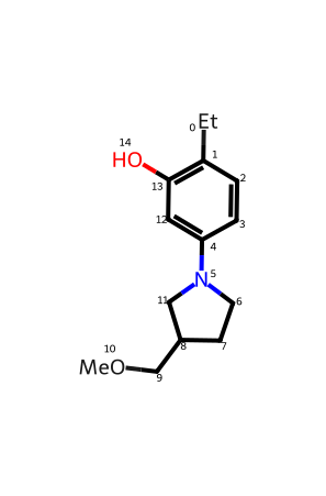 CCc1ccc(N2CCC(COC)C2)cc1O